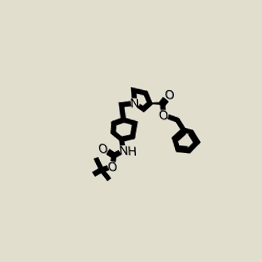 CC(C)(C)OC(=O)NC1CCC(CN2CC[C@@H](C(=O)OCc3ccccc3)C2)CC1